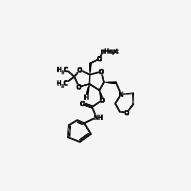 CCCCCCCOC[C@@]12O[C@@H](CN3CCOCC3)[C@@H](OC(=O)Nc3ccccc3)[C@@H]1OC(C)(C)O2